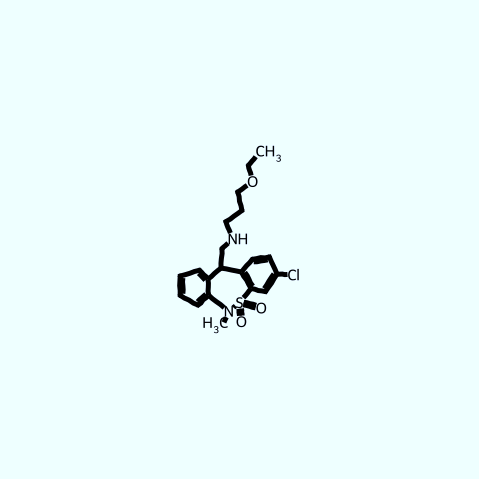 CCOCCCNCC1c2ccccc2N(C)S(=O)(=O)c2cc(Cl)ccc21